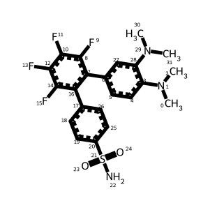 CN(C)c1ccc(-c2c(F)c(F)c(F)c(F)c2-c2ccc(S(N)(=O)=O)cc2)cc1N(C)C